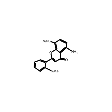 CNc1ccccc1-c1cc(=O)c2c(N)ccc(OC)c2o1